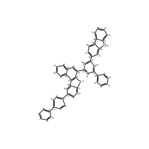 c1ccc(-c2ccc(-c3ccc4sc5c(-c6nc(-c7ccccc7)nc(-c7ccc8c(c7)oc7ccccc78)n6)cc6ccccc6c5c4c3)cc2)cc1